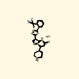 Cl.O=c1cc(C2CCNCC2)n2ncc(-c3nnc(-c4ccccc4C(F)(F)F)o3)c2[nH]1